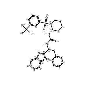 O=C(N[C@@H](Cc1ccccc1)c1nc2ccccc2[nH]1)O[C@H]1CCCCN1S(=O)(=O)c1cccc(C(F)(F)F)c1